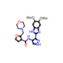 COc1cc2nc(-c3n[nH]cc3NC(=O)c3ccoc3CN3CCOCC3)[nH]c2cc1OC